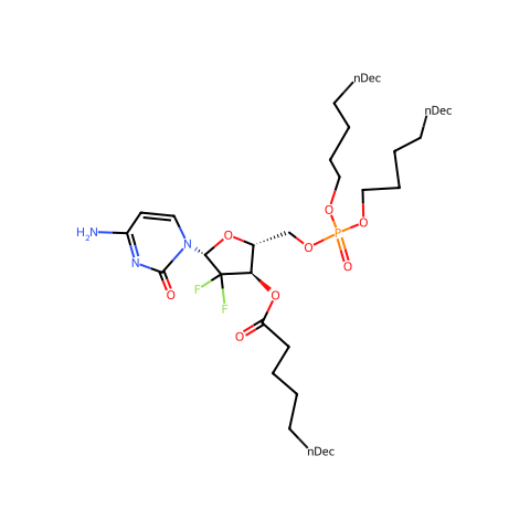 CCCCCCCCCCCCCCOP(=O)(OCCCCCCCCCCCCCC)OC[C@H]1O[C@@H](n2ccc(N)nc2=O)C(F)(F)[C@@H]1OC(=O)CCCCCCCCCCCCCC